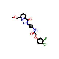 COCc1cccc(C(=O)NC23CC(NC(=O)COc4ccc(Cl)c(F)c4)(C2)C3)n1